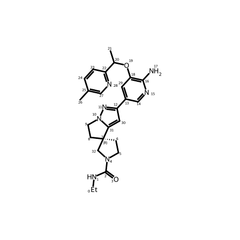 CCNC(=O)N1CC[C@@]2(CCn3nc(-c4cnc(N)c(OC(C)c5ccc(C)cn5)c4)cc32)C1